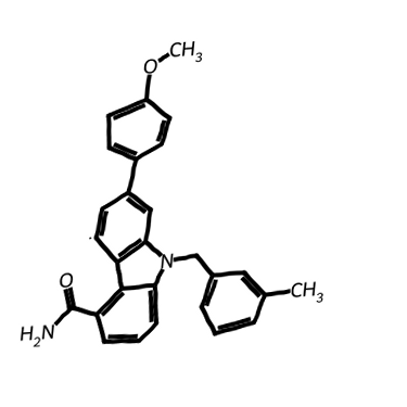 COc1ccc(-c2c[c]c3c4c(C(N)=O)cccc4n(Cc4cccc(C)c4)c3c2)cc1